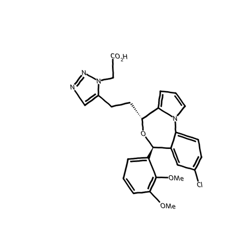 COc1cccc([C@H]2O[C@H](CCc3cnnn3CC(=O)O)c3cccn3-c3ccc(Cl)cc32)c1OC